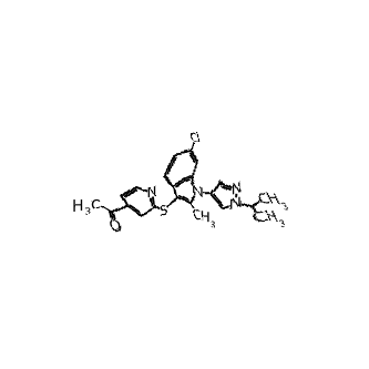 CC(=O)c1ccnc(Sc2c(C)n(-c3cnn(C(C)C)c3)c3cc(Cl)ccc23)c1